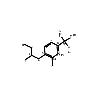 CCC(C)Cc1ccc(C(F)(F)F)nc1C